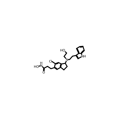 O=C(CCc1cc2c(cc1Cl)C(N(CCO)CCc1c[nH]c3ccccc13)CC2)NO